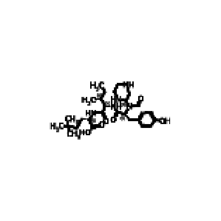 CC[C@H](C)[C@H](NC(=O)[C@H](Cc1ccc(O)cc1)N(C=O)[C@@H]1CNCCN1)C(=O)N[C@@H](CCC(C)(C)C)C(=O)O